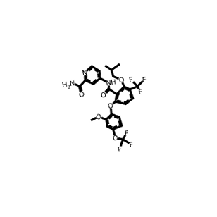 COc1cc(OC(F)(F)F)ccc1Oc1ccc(C(F)(F)F)c(OCC(C)C)c1C(=O)Nc1ccnc(C(N)=O)c1